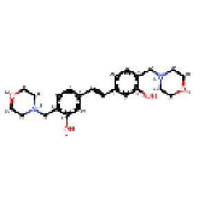 Oc1cc(C=Cc2ccc(CN3CCOCC3)c(O)c2)ccc1CN1CCOCC1